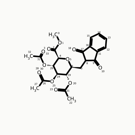 COC(=O)[C@H]1O[C@@H](CC2C(=O)c3ccccc3C2=O)[C@H](OC(C)=O)[C@@H](OC(C)=O)[C@@H]1OC(C)=O